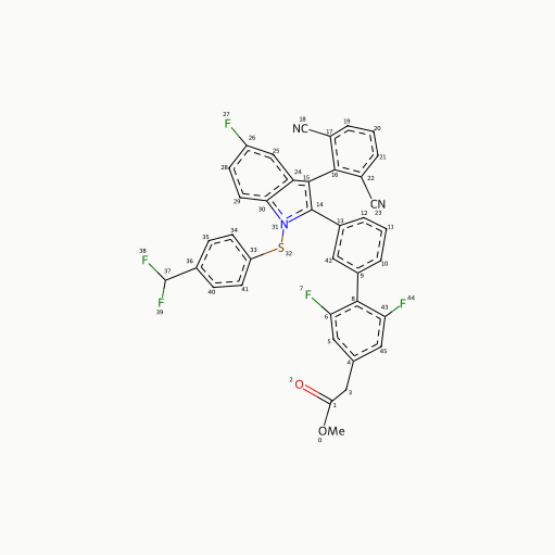 COC(=O)Cc1cc(F)c(-c2cccc(-c3c(-c4c(C#N)cccc4C#N)c4cc(F)ccc4n3Sc3ccc(C(F)F)cc3)c2)c(F)c1